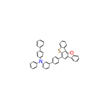 c1ccc(-c2ccc(N(c3ccccc3)c3cccc(-c4ccc(-c5cc6c7ccccc7oc6c6c5sc5ccccc56)cc4)c3)cc2)cc1